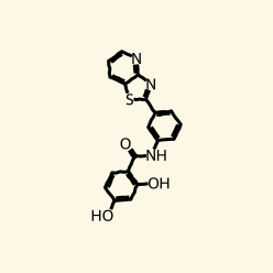 O=C(Nc1cccc(-c2nc3ncccc3s2)c1)c1ccc(O)cc1O